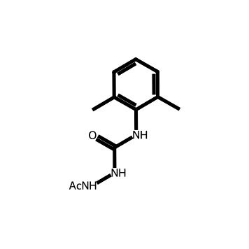 CC(=O)NNC(=O)Nc1c(C)cccc1C